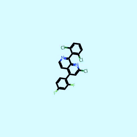 Fc1ccc(-c2cc(Cl)nc3c(-c4c(Cl)cccc4Cl)nccc23)c(F)c1